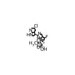 CC(C)(C)C(CC(=O)O)n1cc(F)c2cnc(-c3c[nH]c4ncc(Cl)cc34)nc21